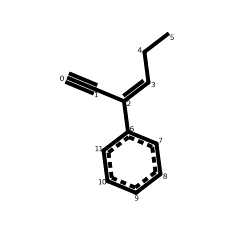 C#CC(=CCC)c1ccccc1